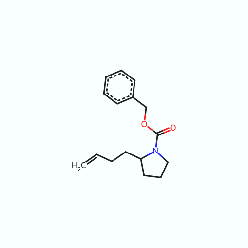 C=CCCC1CCCN1C(=O)OCc1ccccc1